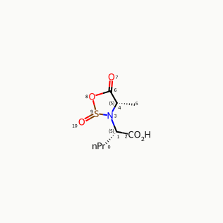 CCC[C@@H](C(=O)O)N1[C@@H](C)C(=O)OS1=O